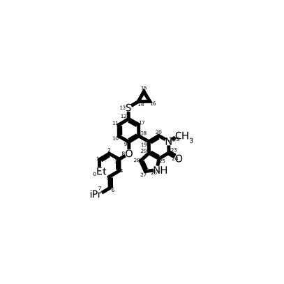 CC\C=C/C(=C\C=C\C(C)C)Oc1ccc(SC2CC2)cc1-c1cn(C)c(=O)c2[nH]ccc12